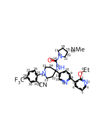 CCOc1ncccc1-c1ccc(C2(NC(=O)N3CC[C@H](NC)C3)CCN(c3ccc(C(F)(F)F)cc3C#N)CC2)cn1